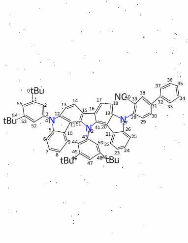 CC(C)(C)c1cc(-n2c3ccccc3c3c2ccc2c4ccc5c(c6ccccc6n5-c5ccc(-c6ccccc6)cc5C#N)c4n(-c4cc(C(C)(C)C)cc(C(C)(C)C)c4)c23)cc(C(C)(C)C)c1